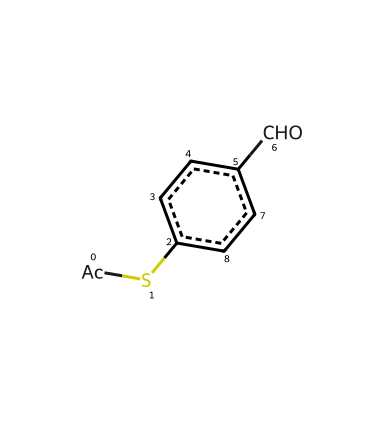 CC(=O)Sc1ccc(C=O)cc1